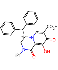 CC(C)N1C[C@H](C(c2ccccc2)c2ccccc2)n2cc(C(=O)O)c(=O)c(O)c2C1=O